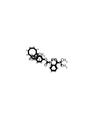 CN(C)C(=O)c1ccccc1N(C)C(=O)Oc1ccc2c(c1)[C@@]1(C)CCCCC[C@@H](C2)[C@@H]1N